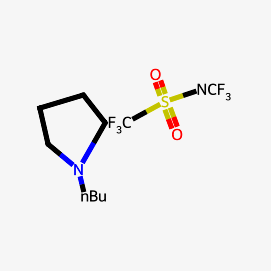 CCCCN1CCCC1.O=S(=O)(NC(F)(F)F)C(F)(F)F